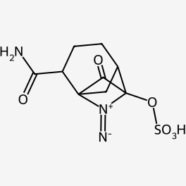 [N-]=[N+]1C23CC(CCC2C(N)=O)C1(OS(=O)(=O)O)C3=O